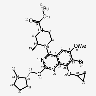 COc1cc2c(N3CCN(C(=O)OC(C)(C)C)C[C@@H]3C)nc(OC[C@@H]3CCCN3C)nc2c(OC2CC2)c1Br